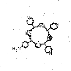 Nc1ccc(-c2c3nc(c(-c4ccncc4)c4ccc([nH]4)c(-c4ccncc4)c4nc(c(-c5ccncc5)c5ccc2[nH]5)C=C4)C=C3)cc1